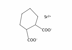 O=C([O-])C1CCCCC1C(=O)[O-].[Sr+2]